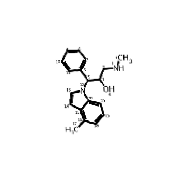 CNCC(O)C(c1ccccc1)n1ccc2c(C)cccc21